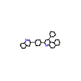 c1ccc(-c2cc(-c3ccc(-c4cnc5ccccc5c4)cc3)nc3ccc4ccccc4c23)cc1